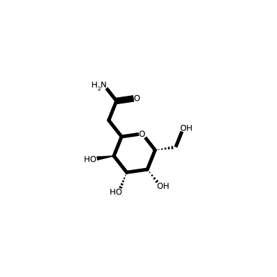 NC(=O)CC1O[C@H](CO)[C@H](O)[C@H](O)[C@H]1O